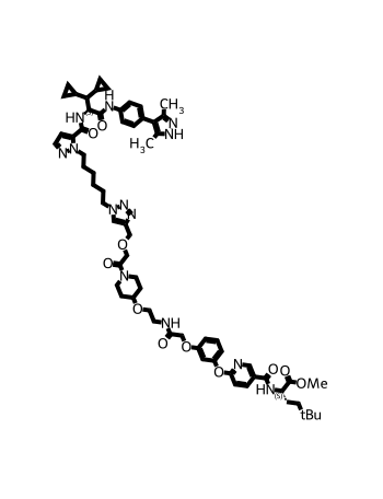 COC(=O)[C@H](CCC(C)(C)C)NC(=O)c1ccc(Oc2cccc(OCC(=O)NCCOC3CCN(C(=O)COCc4cn(CCCCCCn5nccc5C(=O)N[C@H](C(=O)Nc5ccc(-c6c(C)n[nH]c6C)cc5)C(C5CC5)C5CC5)nn4)CC3)c2)nc1